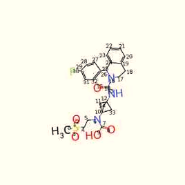 CS(=O)(=O)CCN(C(=O)O)C12CC(NC(=O)N3CCc4ccccc4C3c3ccc(F)cc3)(C1)C2